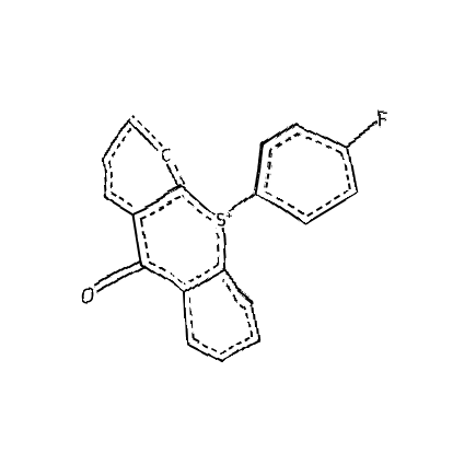 O=c1c2ccccc2[s+](-c2ccc(F)cc2)c2ccccc12